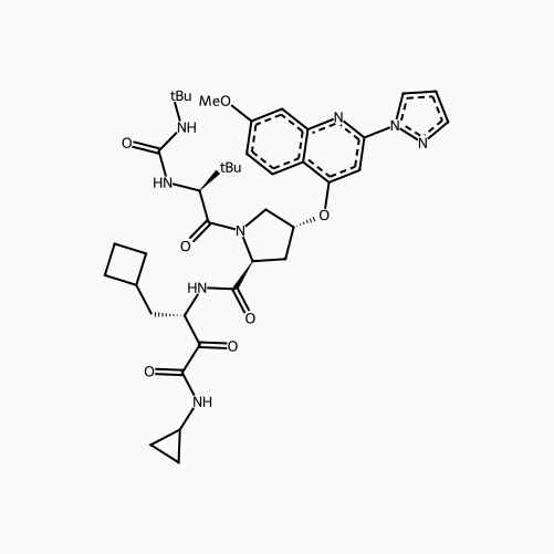 COc1ccc2c(O[C@@H]3C[C@@H](C(=O)N[C@@H](CC4CCC4)C(=O)C(=O)NC4CC4)N(C(=O)[C@@H](NC(=O)NC(C)(C)C)C(C)(C)C)C3)cc(-n3cccn3)nc2c1